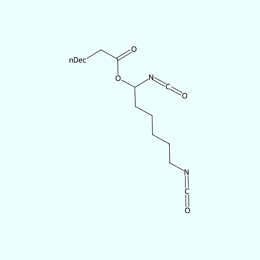 CCCCCCCCCCCC(=O)OC(CCCCCN=C=O)N=C=O